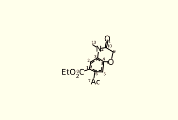 CCOC(=O)c1cc2c(cc1C(C)=O)OCC(=O)N2C